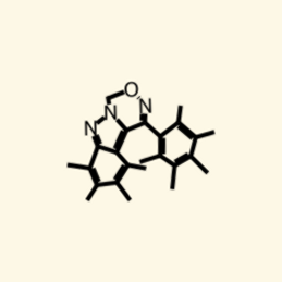 Cc1c(C)c(C)c(C2=NOCn3nc4c(C)c(C)c(C)c(C)c4c32)c(C)c1C